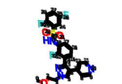 COCCn1cc(-c2ccncc2)c(-c2cccc(NS(=O)(=O)c3cc(F)ccc3F)c2F)n1